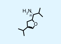 CC(C)C1=COC([C@H](N)C(C)C)C1